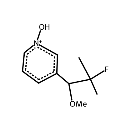 COC(c1ccc[n+](O)c1)C(C)(C)F